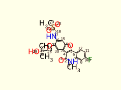 CNC(=O)c1c(-c2ccc(F)cc2)oc2cc(NCS(C)(=O)=O)c(OCC(C)(C)O)cc12